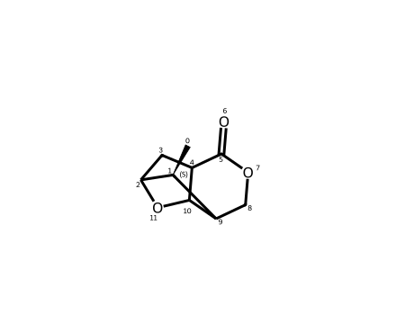 C[C@@H]1C2CC3C(=O)OCC1C3O2